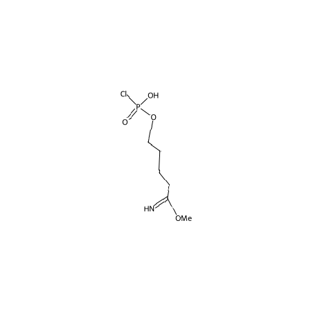 COC(=N)CCCCOP(=O)(O)Cl